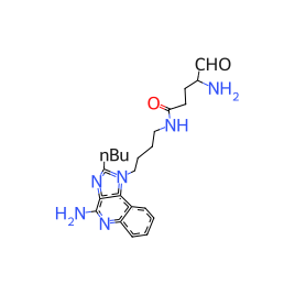 CCCCc1nc2c(N)nc3ccccc3c2n1CCCCNC(=O)CCC(N)C=O